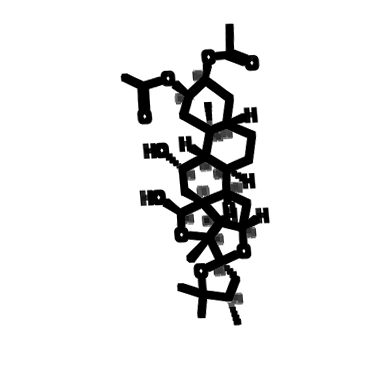 CC(=O)O[C@H]1C[C@@H]2CC[C@@H]3[C@H]([C@@H](O)C[C@]45[C@H](O)O[C@]6(C)[C@H]4[C@H](C[C@@H]35)O[C@]63C[C@H](C)C(C)(C)O3)[C@@]2(C)C[C@H]1OC(C)=O